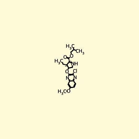 CC[C@@H]1C(Oc2nc3cc(OC)ccc3nc2Cl)CN[C@@H]1C(=O)OCC(C)C